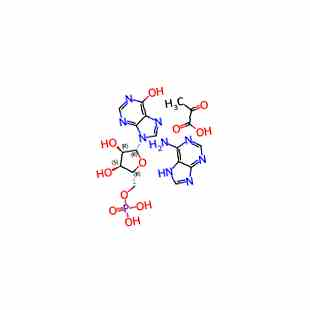 CC(=O)C(=O)O.Nc1ncnc2nc[nH]c12.O=P(O)(O)OC[C@H]1O[C@@H](n2cnc3c(O)ncnc32)[C@H](O)[C@@H]1O